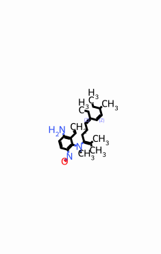 C=Cc1c(N)ccc(N=O)c1N(C)C(CC/C=C(\C=C/C(C)CC)CC)=C(C)C